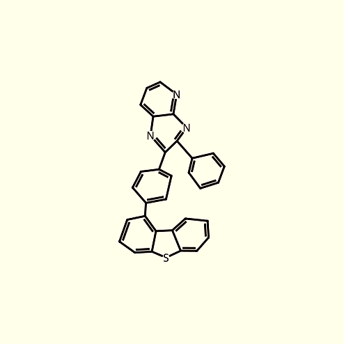 c1ccc(-c2nc3ncccc3nc2-c2ccc(-c3cccc4sc5ccccc5c34)cc2)cc1